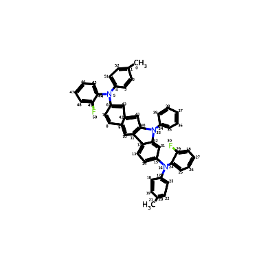 Cc1ccc(N(c2ccc3cc4c5ccc(N(c6ccc(C)cc6)c6ccccc6F)cc5n(-c5ccccc5)c4cc3c2)c2ccccc2F)cc1